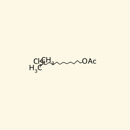 CC(=O)OCCCCCCCCCCC[Si](C)(C)Cl